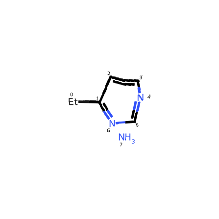 CCc1ccncn1.N